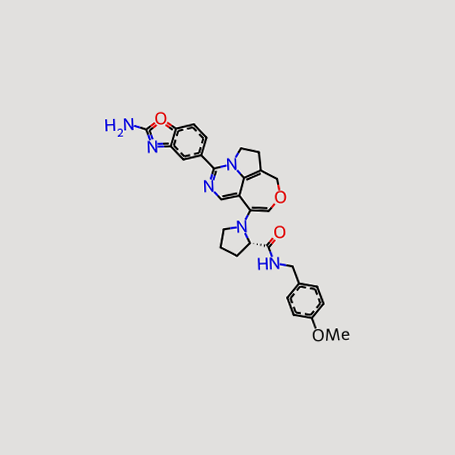 COc1ccc(CNC(=O)[C@@H]2CCCN2C2=COCC3=C4C2=CN=C(c2ccc5oc(N)nc5c2)N4CC3)cc1